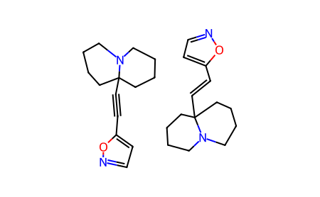 C(#CC12CCCCN1CCCC2)c1ccno1.C(=CC12CCCCN1CCCC2)c1ccno1